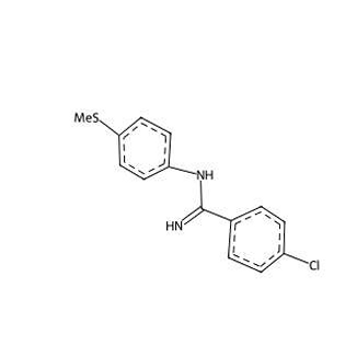 CSc1ccc(NC(=N)c2ccc(Cl)cc2)cc1